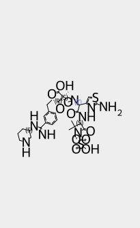 CC1(C)[C@H](NC(=O)/C(=N\O[C@](C)(C(=O)O)[C@H]2CCc3cc(C(=N)N[C@H]4CCCNC4)ccc3O2)c2csc(N)n2)C(=O)N1OS(=O)(=O)O